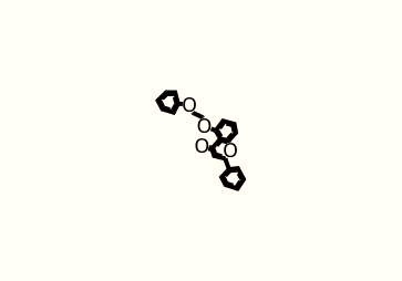 O=c1cc(-c2ccccc2)oc2cccc(OCCOc3ccccc3)c12